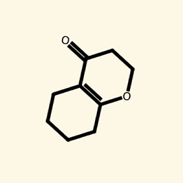 O=C1CCOC2=C1CCCC2